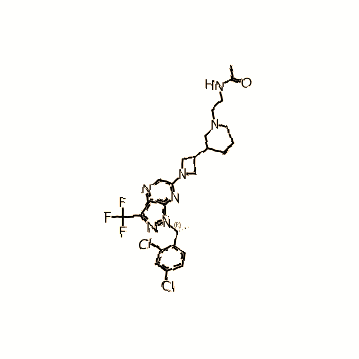 CC(=O)NCCN1CCCC(C2CN(c3cnc4c(C(F)(F)F)nn([C@H](C)c5ccc(Cl)cc5Cl)c4n3)C2)C1